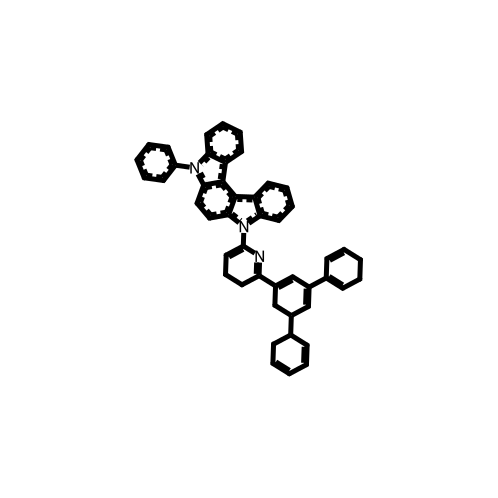 C1=CCC(C2C=C(C3=CCCC=C3)C=C(C3=NC(n4c5ccccc5c5c6c7ccccc7n(-c7ccccc7)c6ccc54)=CCC3)C2)C=C1